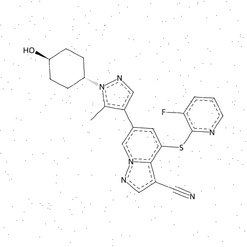 Cc1c(-c2cc(Sc3ncccc3F)c3c(C#N)cnn3c2)cnn1[C@H]1CC[C@H](O)CC1